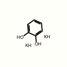 Oc1ccccc1O.[KH].[KH]